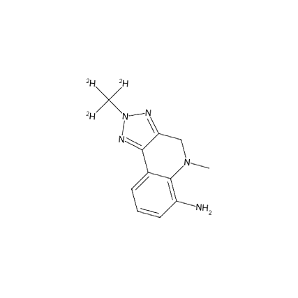 [2H]C([2H])([2H])n1nc2c(n1)-c1cccc(N)c1N(C)C2